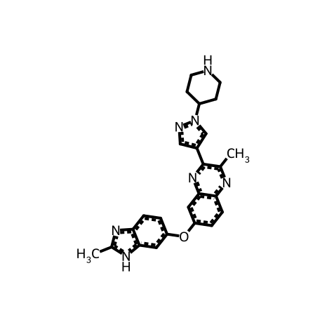 Cc1nc2ccc(Oc3ccc4nc(C)c(-c5cnn(C6CCNCC6)c5)nc4c3)cc2[nH]1